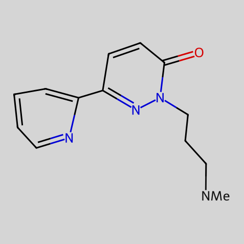 CNCCCn1nc(-c2ccccn2)ccc1=O